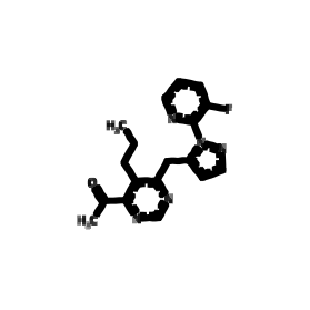 CCCc1c(Cc2ccnn2-c2ncccc2F)ncnc1C(C)=O